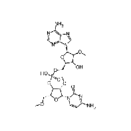 COC[C@H]1O[C@@H](n2ccc(N)nc2=O)[C@@H](OC)C1OP(=O)(O)OC[C@H]1O[C@@H](n2cnc3c(N)ncnc32)[C@@H](OC)C1O